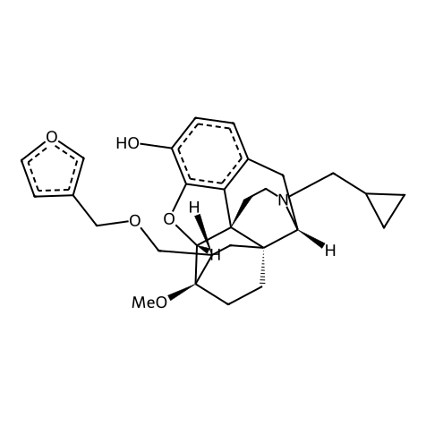 CO[C@]12CC[C@@]3(C[C@H]1COCc1ccoc1)[C@H]1Cc4ccc(O)c5c4[C@@]3(CCN1CC1CC1)[C@H]2O5